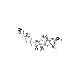 COCCC1(N)CCC(Cc2sc3c(c2C)C(=O)N(Cc2c(C)cc(C)nc2OC)CC3)CC1